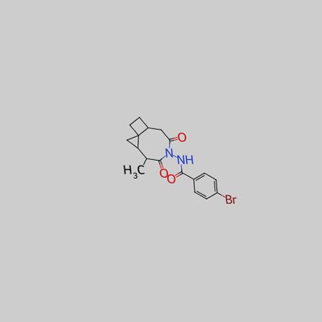 CC1C(=O)N(NC(=O)c2ccc(Br)cc2)C(=O)CC2CCC23CC13